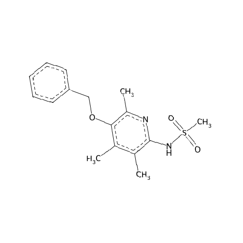 Cc1nc(NS(C)(=O)=O)c(C)c(C)c1OCc1ccccc1